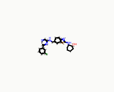 O[C@@H]1CCCCC1Nc1nc2ccc(CNc3cncc(-c4cccc(F)c4)n3)cc2s1